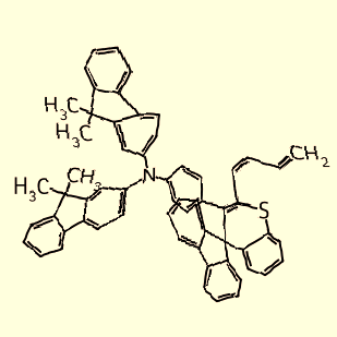 C=C/C=C\C1=C(c2ccc(N(c3ccc4c(c3)C(C)(C)c3ccccc3-4)c3ccc4c(c3)C(C)(C)c3ccccc3-4)cc2)C2(c3ccccc3S1)c1ccccc1-c1ccccc12